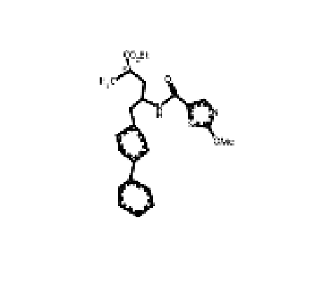 CCOC(=O)[C@H](C)CC(Cc1ccc(-c2ccccc2)cc1)NC(=O)c1cnc(OC)s1